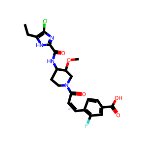 CCc1[nH]c(C(=O)NC2CCN(C(=O)/C=C\c3ccc(C(=O)O)cc3F)CC2OC)nc1Cl